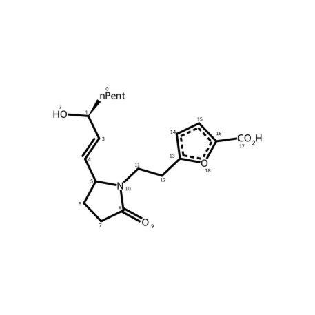 CCCCC[C@H](O)/C=C/C1CCC(=O)N1CCc1ccc(C(=O)O)o1